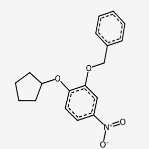 O=[N+]([O-])c1ccc(OC2CCCC2)c(OCc2ccccc2)c1